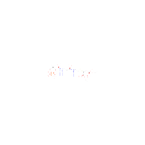 CCOC(=O)CC(SCCNC(=O)CCNC(=O)[C@@H]1OP(=O)(OC)OCC1(C)C)C(=O)OCC